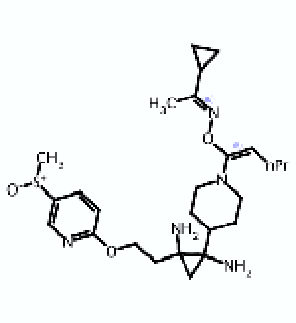 CCC/C=C(/O/N=C(\C)C1CC1)N1CCC(C2(N)CC2(N)CCOc2ccc([S+](C)[O-])cn2)CC1